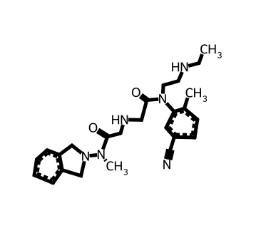 CCNCCN(C(=O)CNCC(=O)N(C)N1Cc2ccccc2C1)c1cc(C#N)ccc1C